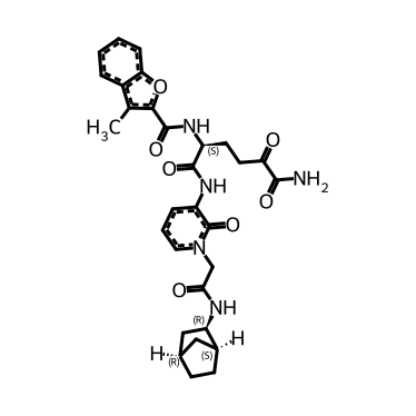 Cc1c(C(=O)N[C@@H](CCC(=O)C(N)=O)C(=O)Nc2cccn(CC(=O)N[C@@H]3C[C@@H]4CC[C@H]3C4)c2=O)oc2ccccc12